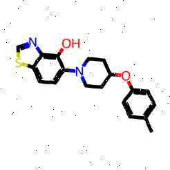 Cc1ccc(OC2CCN(c3ccc4scnc4c3O)CC2)cc1